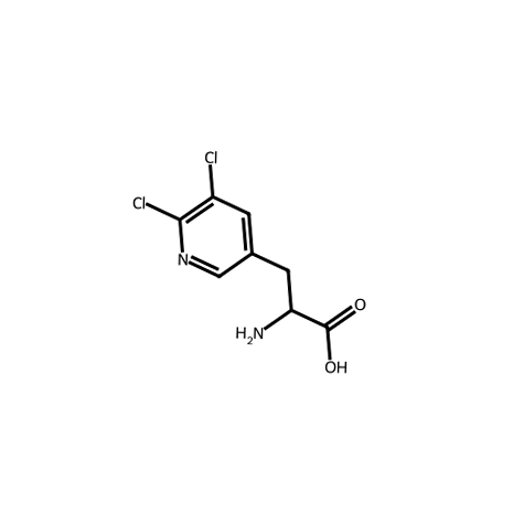 NC(Cc1cnc(Cl)c(Cl)c1)C(=O)O